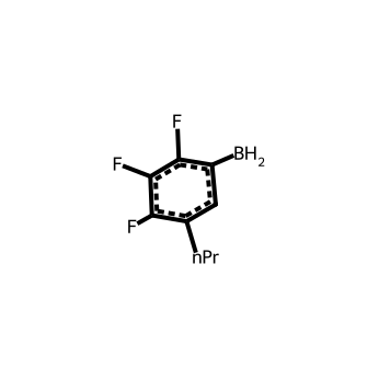 Bc1cc(CCC)c(F)c(F)c1F